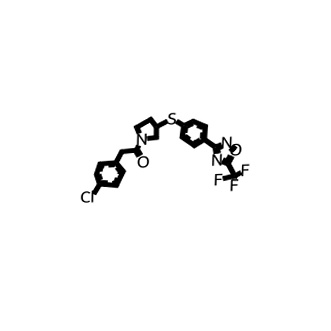 O=C(Cc1ccc(Cl)cc1)N1CCC(Sc2ccc(-c3noc(C(F)(F)F)n3)cc2)C1